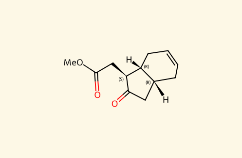 COC(=O)C[C@@H]1C(=O)C[C@H]2CC=CC[C@H]21